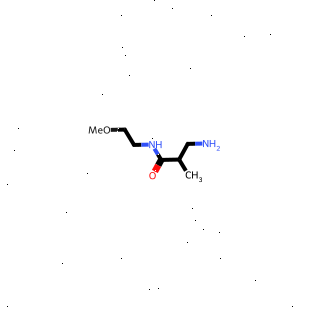 COCCNC(=O)C(C)CN